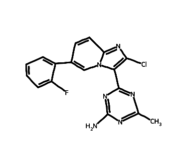 Cc1nc(N)nc(-c2c(Cl)nc3ccc(-c4ccccc4F)cn23)n1